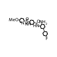 COc1ccc(S(=N)(=O)c2ccc(C(=O)Nc3cc(-c4ccc(F)cc4)ccc3N)cc2)nc1